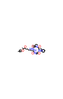 C[C@H](O[Si](C)(C)C(C)(C)C)C(=O)CCCCC[C@@H]1NC(=O)[C@H]2CCCN2C(=O)[C@H](Cc2ccccc2)NC(=O)C(C)(C)NC1=O